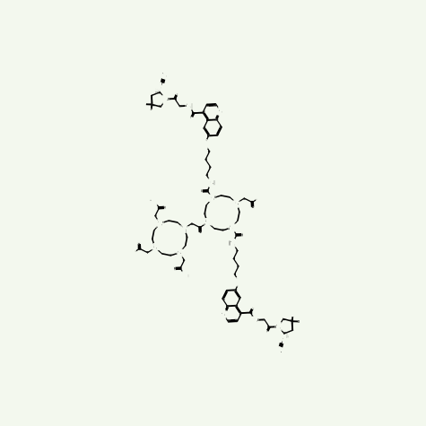 N#C[C@@H]1CC(F)(F)CN1C(=O)CNC(=O)c1ccnc2ccc(OCCCCNC(=O)N3CCN(CC(=O)O)CCN(C(=O)NCCCCOc4ccc5nccc(C(=O)NCC(=O)N6CC(F)(F)C[C@H]6C#N)c5c4)CCN(C(=O)CN4CCN(CC(=O)O)CCN(CC(=O)O)CCN(CC(=O)O)CC4)CC3)cc12